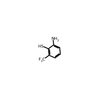 Nc1cccc(C(F)(F)F)c1S